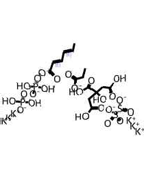 C/C=C/C=C/C(=O)[O-].CCC(=O)[O-].O=C(O)CC(O)(CC(=O)O)C(=O)O.O=P([O-])(O)O.O=P([O-])(O)O.O=S([O-])S(=O)(=O)[O-].[K+].[K+].[K+].[K+].[K+].[K+]